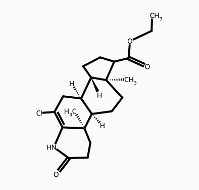 CCOC(=O)C1CC[C@H]2[C@@H]3CC(Cl)=C4NC(=O)CC[C@]4(C)[C@@H]3CC[C@]12C